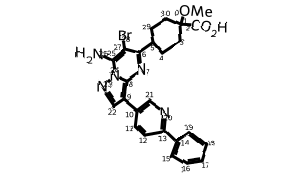 COC1(C(=O)O)CCC(c2nc3c(-c4ccc(-c5ccccc5)nc4)cnn3c(N)c2Br)CC1